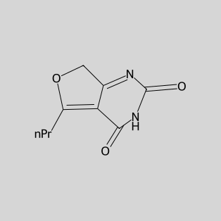 CCCC1=C2C(=O)NC(=O)N=C2CO1